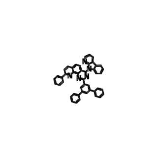 c1ccc(-c2cc(-c3ccccc3)cc(-c3nc(-n4c5ccccc5c5cccnc54)c4ccc5ccc(-c6ccccc6)nc5c4n3)c2)cc1